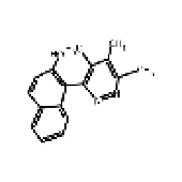 Cc1nnc(-c2c(O)ccc3ccccc23)c(C)c1C